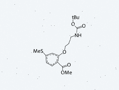 COC(=O)c1ccc(SC)cc1OCCCNC(=O)OC(C)(C)C